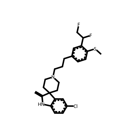 C=C1Nc2ccc(Cl)cc2C12CCN(CCCc1ccc(SC)c(C(F)CF)c1)CC2